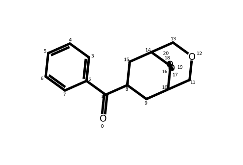 O=C(c1ccccc1)C1CC2COCC(C1)C21OCCO1